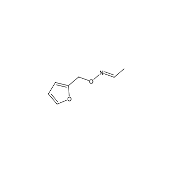 CC=NOCc1ccco1